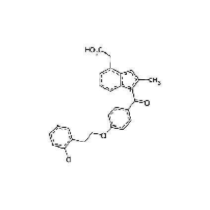 Cc1cc2c(CC(=O)O)cccc2n1C(=O)c1ccc(OCCc2ccccc2Cl)cc1